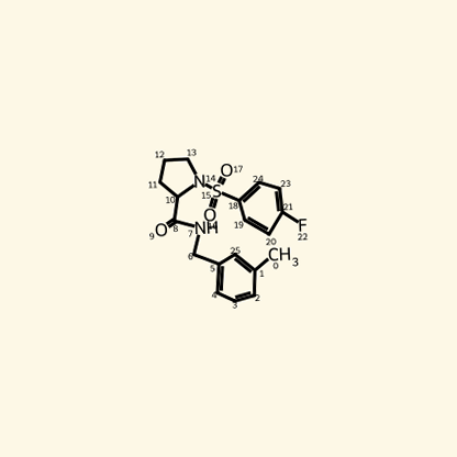 Cc1cccc(CNC(=O)C2CCCN2S(=O)(=O)c2ccc(F)cc2)c1